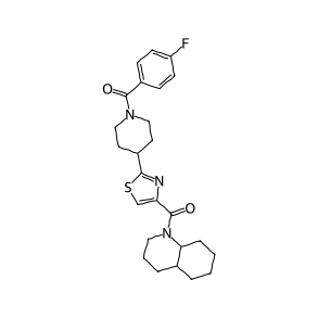 O=C(c1ccc(F)cc1)N1CCC(c2nc(C(=O)N3CCCC4CCCCC43)cs2)CC1